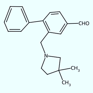 CC1(C)CCN(Cc2cc(C=O)ccc2-c2ccccc2)C1